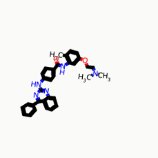 Cc1ccc(OCCN(C)C)cc1NC(=O)c1ccc(Nc2nc(-c3ccccc3)c3ccccc3n2)cc1